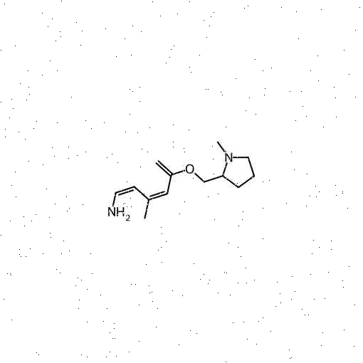 C=C(/C=C(C)\C=C/N)OCC1CCCN1C